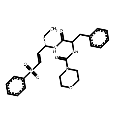 CC[C@@H](/C=C/S(=O)(=O)c1ccccc1)NC(=O)C(Cc1ccccc1)NC(=O)N1CCOCC1